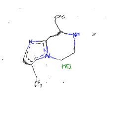 CC1NCCn2c(C(F)(F)F)cnc21.Cl